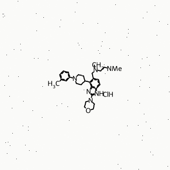 CNCCN(C)Cc1ccc2[nH]c(N3CCOCC3)nc2c1C1CCN(c2cccc(C)c2)CC1.Cl